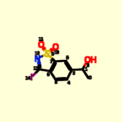 CC(O)c1ccc2c(c1)S(=O)(=O)N=C2I